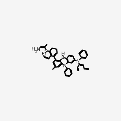 C=C/C=C(\C=C)N(c1ccccc1)c1ccc2c(c1)N(c1ccccc1)c1cc(C)cc(C3=CCCC(S/C(C)=C\N)=C3/C=C\CC)c1B2